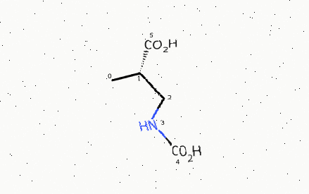 C[C@@H](CNC(=O)O)C(=O)O